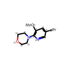 COc1cc(C(C)C)cnc1N1CCOCC1